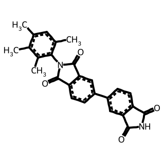 Cc1cc(C)c(N2C(=O)c3ccc(-c4ccc5c(c4)C(=O)NC5=O)cc3C2=O)c(C)c1C